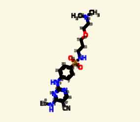 CCNc1nc(Nc2ccc(S(=O)(=O)NCCCOCCN(C)C)cc2)ncc1C#N